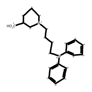 O=C(O)C1CCCN(CCCCN(c2ccccc2)c2ccccc2)C1